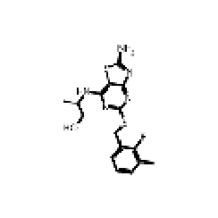 Cc1cccc(CSc2nc(N[C@H](C)CO)c3sc(N)nc3n2)c1F